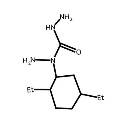 CCC1CCC(CC)C(N(N)C(=O)NN)C1